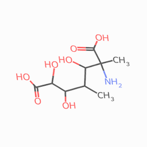 CC(C(O)C(O)C(=O)O)C(O)C(C)(N)C(=O)O